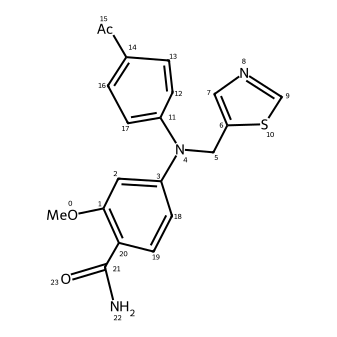 COc1cc(N(Cc2cncs2)c2ccc(C(C)=O)cc2)ccc1C(N)=O